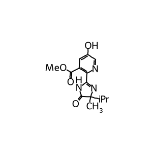 COC(=O)c1cc(O)cnc1C1=NC(C)(C(C)C)C(=O)N1